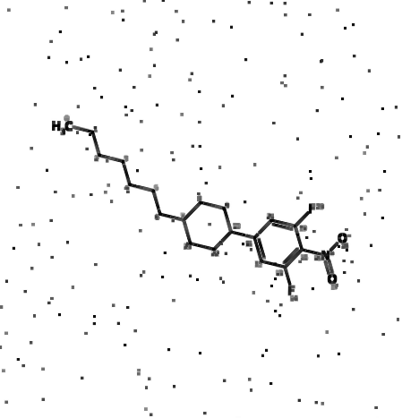 CCCCCCCC1CCC(c2cc(F)c([N+](=O)[O-])c(F)c2)CC1